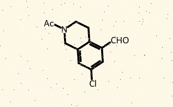 CC(=O)N1CCc2c(C=O)cc(Cl)cc2C1